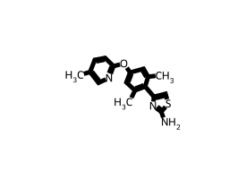 Cc1ccc(Oc2cc(C)c(-c3csc(N)n3)c(C)c2)nc1